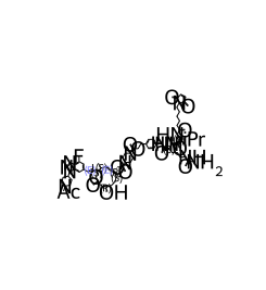 CC(=O)N1CCC(n2nnc3c(F)cc(/C=C(\C)[C@H]4OC(=O)C[C@H](O)CC[C@H](C)[C@@H](OC(=O)N5CCN(C(=O)OCc6ccc(NC(=O)[C@H](CCCNC(N)=O)NC(=O)[C@@H](NC(=O)CCCCCN7C(=O)C=CC7=O)C(C)C)cc6)CC5)/C=C/[C@@H]4C)cc32)CC1